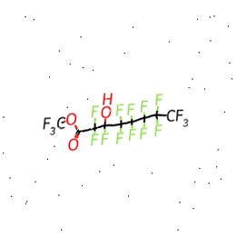 O=C(OC(F)(F)F)C(F)(F)C(O)(F)C(F)(F)C(F)(F)C(F)(F)C(F)(F)C(F)(F)F